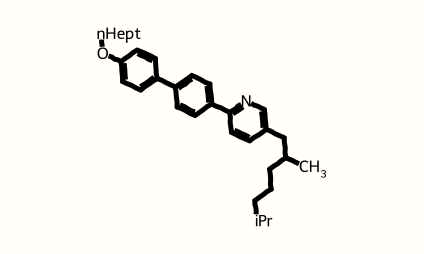 CCCCCCCOc1ccc(-c2ccc(-c3ccc(CC(C)CCCC(C)C)cn3)cc2)cc1